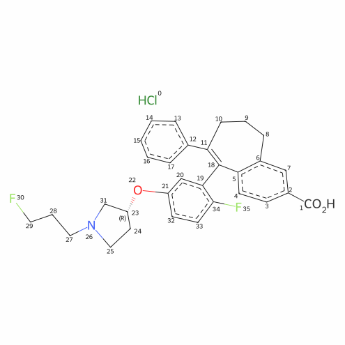 Cl.O=C(O)c1ccc2c(c1)CCCC(c1ccccc1)=C2c1cc(O[C@@H]2CCN(CCCF)C2)ccc1F